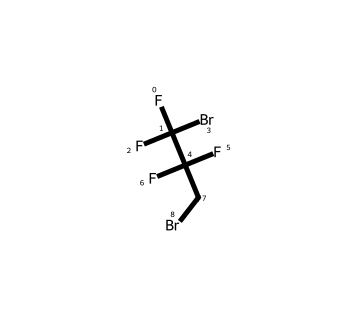 FC(F)(Br)C(F)(F)[CH]Br